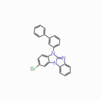 Brc1ccc2c(c1)n1c3ccccc3nc1n2-c1cccc(-c2ccccc2)c1